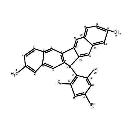 Cc1ccc2cc3c(cc2c1)B(c1c(C(C)C)cc(C(C)C)cc1C(C)C)c1cc2cc(C)ccc2cc1-3